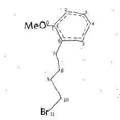 COc1ccccc1CCCCBr